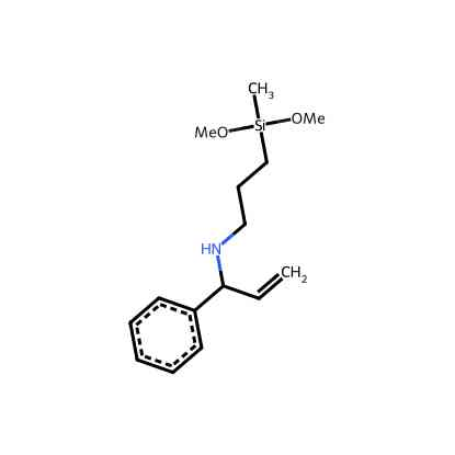 C=CC(NCCC[Si](C)(OC)OC)c1ccccc1